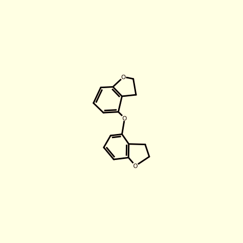 c1cc2c(c(Oc3cccc4c3CCO4)c1)CCO2